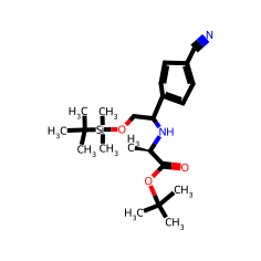 C[C@@H](NC(CO[Si](C)(C)C(C)(C)C)c1ccc(C#N)cc1)C(=O)OC(C)(C)C